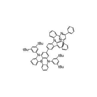 CC(C)(C)c1cc(N2c3ccccc3B3c4ccccc4N(c4cc(C(C)(C)C)cc(C(C)(C)C)c4)c4cc(-c5ccc6c(c5)c5ccccc5n6-c5ccccc5-c5nc(-c6ccccc6)cc(-c6ccccc6)n5)cc2c43)cc(C(C)(C)C)c1